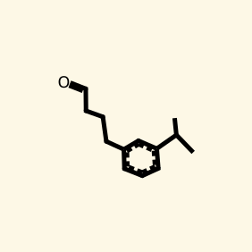 CC(C)c1cccc(CCCC=O)c1